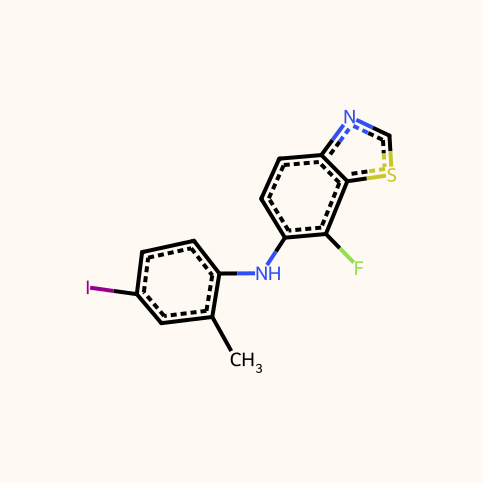 Cc1cc(I)ccc1Nc1ccc2ncsc2c1F